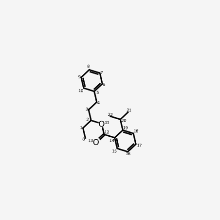 CCC(CCc1ccccc1)OC(=O)c1ccccc1C(C)C